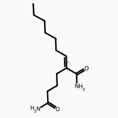 CCCCCC/C=C(\CCCC(N)=O)C(N)=O